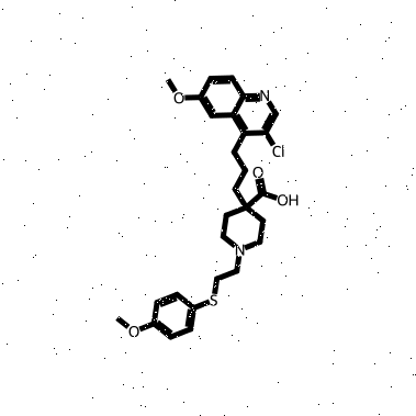 COc1ccc(SCCN2CCC(CCCc3c(Cl)cnc4ccc(OC)cc34)(C(=O)O)CC2)cc1